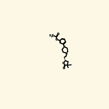 CC1(C)C[C@@H](CCN2CCN(c3cccc(OC(=O)C(F)(F)F)c3)CC2)OC1=O